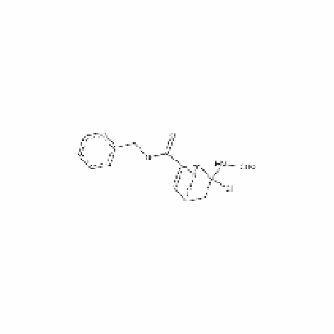 O=CNC1(Cl)CC2C=CC1N(C(=O)OCc1ccccc1)C2